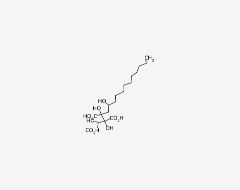 C=CCCCCCCCCC(O)CC(O)(C(=O)O)C(O)(C(=O)O)C(O)C(=O)O